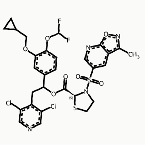 Cc1noc2ncc(S(=O)(=O)N3CCS[C@H]3C(=O)OC(Cc3c(Cl)cncc3Cl)c3ccc(OC(F)F)c(OCC4CC4)c3)cc12